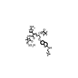 CC1(C)[C@H](NC(=O)/C(=N\O[C@@H](COc2ccc3nc(NCC[N+](C)(C)C)ccc3c2)C(=O)O)c2csc(N)n2)C(=O)N1OS(=O)(=O)O.O=C([O-])C(F)(F)F